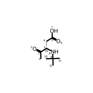 CC(=O)[C@H](CC(=O)O)NC(C)(C)C